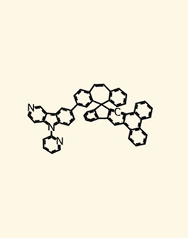 C1=Cc2ccc(-c3ccc4c(c3)c3cnccc3n4-c3ccccn3)cc2C2(c3ccccc31)c1ccccc1-c1cc3c4ccccc4c4ccccc4c3cc12